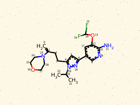 C=C(CCc1cc(-c2cnc(N)c(OC(F)F)c2)nn1C(C)C)N1CCOCC1